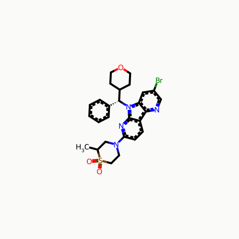 CC1CN(c2ccc3c4ncc(Br)cc4n([C@H](c4ccccc4)C4CCOCC4)c3n2)CCS1(=O)=O